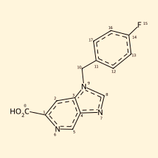 O=C(O)c1cc2c(cn1)ncn2Cc1ccc(F)cc1